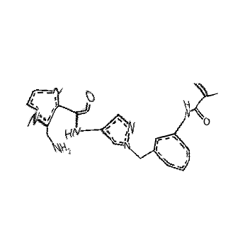 C=C(C)C(=O)Nc1cccc(Cn2cc(NC(=O)c3nccnc3N)cn2)c1